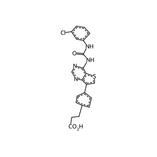 O=C(O)CCc1ccc(-c2csc3c(NC(=O)Nc4cccc(Cl)c4)ncnc23)cc1